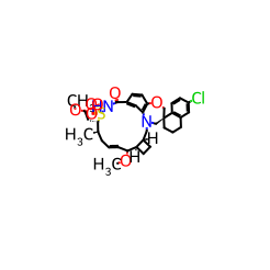 COC(=O)C[C@H]1[C@H](C)C/C=C/[C@H](OC)[C@@H]2CC[C@H]2CN2C[C@@]3(CCCc4cc(Cl)ccc43)COc3ccc(cc32)C(=O)NS1(=O)=O